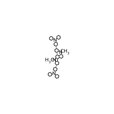 CN1c2cc(-c3ccc(N(c4ccccc4)c4ccccc4)cc3)ccc2-c2cc3c(c4cccc1c24)c1ccc(-c2ccc(N(c4ccccc4)c4ccccc4)cc2)cc1n3C